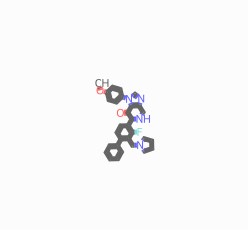 COc1ccc(-n2cnc3c2C(=O)C(c2ccc(-c4ccccc4)c(CN4CCCC4)c2F)NC3)cc1